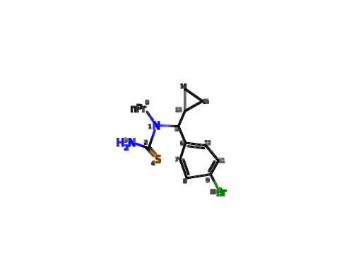 CCCN(C(N)=S)C(c1ccc(Br)cc1)C1CC1